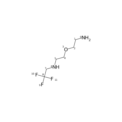 NCCOCCNCC(F)(F)F